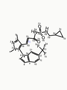 Cc1nn(C)c(-n2ccc3ccc(C(F)(F)F)cc32)c1/C=C/C(=O)NS(=O)(=O)NCC1CC1